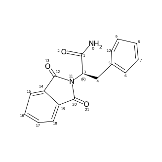 NC(=O)[C@@H](Cc1ccccc1)N1C(=O)c2ccccc2C1=O